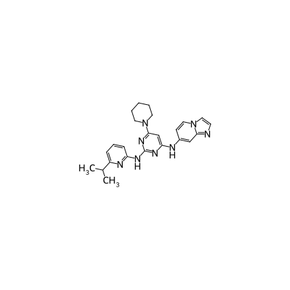 CC(C)c1cccc(Nc2nc(Nc3ccn4ccnc4c3)cc(N3CCCCC3)n2)n1